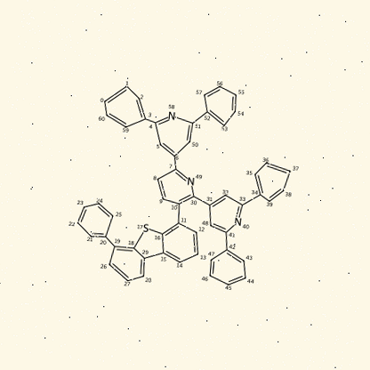 c1ccc(-c2cc(-c3ccc(-c4cccc5c4sc4c(-c6ccccc6)cccc45)c(-c4cc(-c5ccccc5)nc(-c5ccccc5)c4)n3)cc(-c3ccccc3)n2)cc1